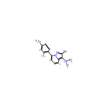 CCc1nn2c(-c3ccc(C(F)(F)F)cc3Cl)cccc2c1N(CC)CC